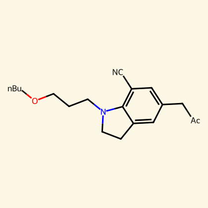 CCCCOCCCN1CCc2cc(CC(C)=O)cc(C#N)c21